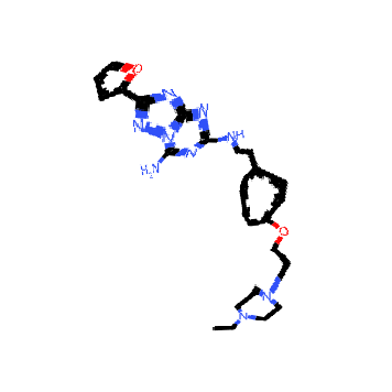 CCN1CCN(CCOc2ccc(CCNc3nc(N)n4nc(-c5ccco5)nc4n3)cc2)CC1